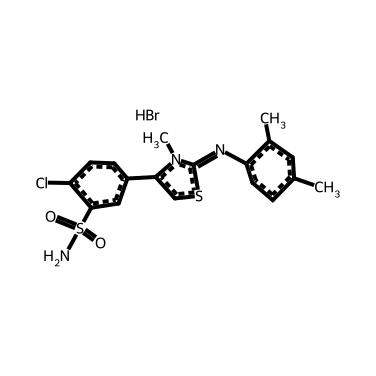 Br.Cc1ccc(N=c2scc(-c3ccc(Cl)c(S(N)(=O)=O)c3)n2C)c(C)c1